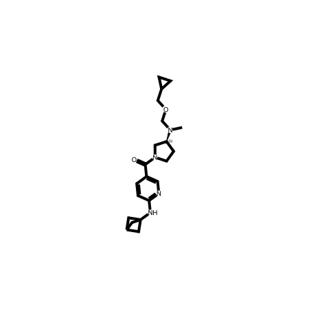 CN(COCC1CC1)[C@H]1CCN(C(=O)c2ccc(NC34CC(C3)C4)nc2)C1